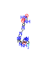 C[C@@H](Oc1cc(-c2cnn(C3CCN(CCC4CCN(c5ccc(C(=O)NC6CCC(=O)NC6=O)cc5)CC4)CC3)c2)cnc1N)c1cc(F)ccc1-n1nccn1